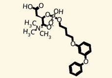 C[N+](C)(C)C([O-])[C@@H](CC(=O)O)OP(=O)(O)OCCCCOc1cccc(Oc2ccccc2)c1